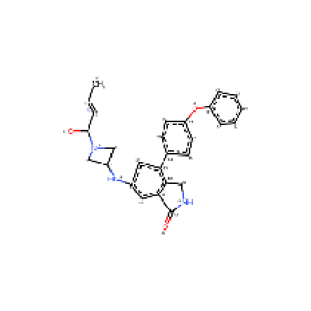 C/C=C/C(=O)N1CC(Nc2cc3c(c(-c4ccc(Oc5ccccc5)cc4)c2)CNC3=O)C1